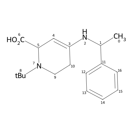 CC(NC1=CC(C(=O)O)N(C(C)(C)C)CC1)c1ccccc1